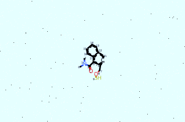 CN(C)C(=O)c1c(COS)ccc2ccccc12